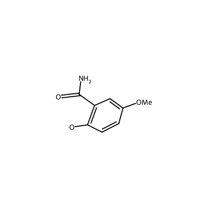 COc1ccc([O])c(C(N)=O)c1